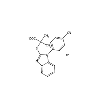 CC(C)(Sc1nc2ccccc2n1-c1ccc(C#N)cc1)C(=O)[O-].[K+]